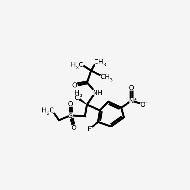 CCS(=O)(=O)C[C@](C)(NC(=O)C(C)(C)C)c1cc([N+](=O)[O-])ccc1F